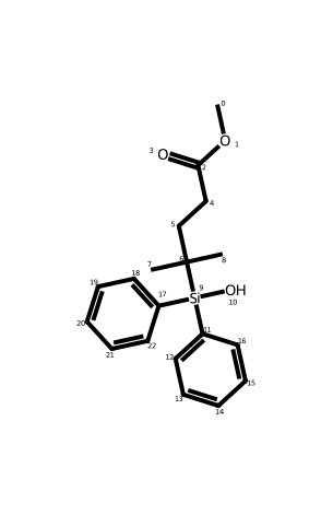 COC(=O)CCC(C)(C)[Si](O)(c1ccccc1)c1ccccc1